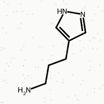 NCCCc1cn[nH]c1